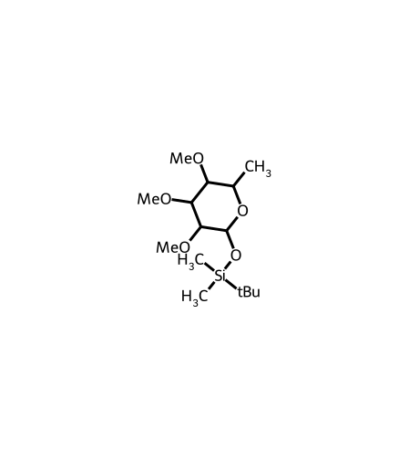 COC1C(C)OC(O[Si](C)(C)C(C)(C)C)C(OC)C1OC